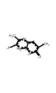 Cc1nc2cc(C)c(=S)nc-2[nH]c1F